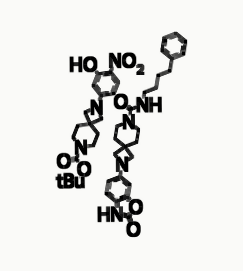 CC(C)(C)OC(=O)N1CCC2(CC1)CN(c1ccc([N+](=O)[O-])c(O)c1)C2.O=C(NCCCCc1ccccc1)N1CCC2(CC1)CN(c1ccc3[nH]c(=O)oc3c1)C2